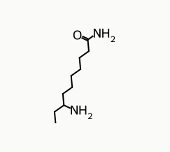 CCC(N)CCCCCCC(N)=O